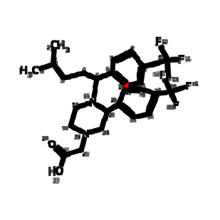 CC(C)CCC(c1ccc(C(F)(F)F)cc1)N1CCN(CC(=O)O)CC1c1ccc(C(F)(F)F)cc1